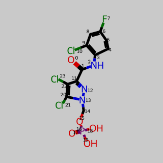 O=C(Nc1ccc(F)cc1Cl)c1nn(COP(=O)(O)O)c(Cl)c1Cl